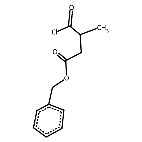 CC(CC(=O)OCc1ccccc1)C(=O)Cl